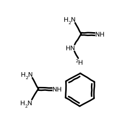 N=C(N)N.[2H]NC(=N)N.c1ccccc1